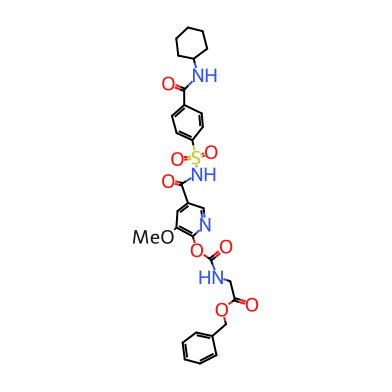 COc1cc(C(=O)NS(=O)(=O)c2ccc(C(=O)NC3CCCCC3)cc2)cnc1OC(=O)NCC(=O)OCc1ccccc1